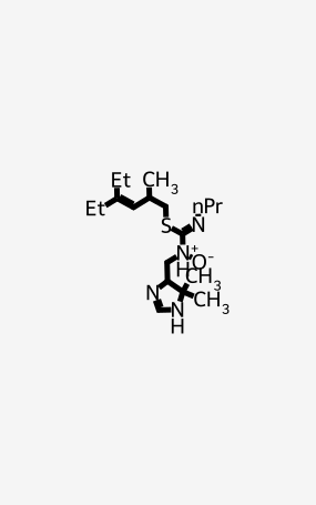 CCCN=C(SCC(C)C=C(CC)CC)[NH+]([O-])CC1N=CNC1(C)C